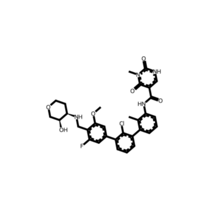 COc1cc(-c2cccc(-c3cccc(NC(=O)c4c[nH]c(=O)n(C)c4=O)c3C)c2Cl)cc(F)c1CN[C@@H]1CCOC[C@@H]1O